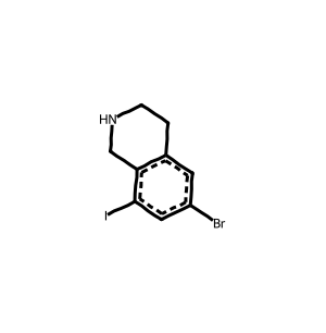 Brc1cc(I)c2c(c1)CCNC2